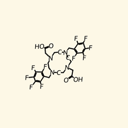 O=C(O)CN1CCN(Cc2c(F)c(F)c(F)c(F)c2F)CCN(CC(=O)O)CCN(Cc2c(F)c(F)c(F)c(F)c2F)CC1